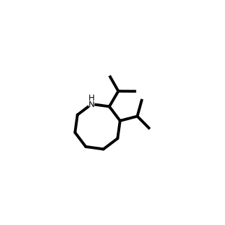 CC(C)C1CCCCCNC1C(C)C